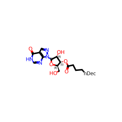 CCCCCCCCCCCCCC(=O)O[C@H]1[C@@H](O)[C@H](n2ncc3c(=O)[nH]cnc32)O[C@@H]1CO